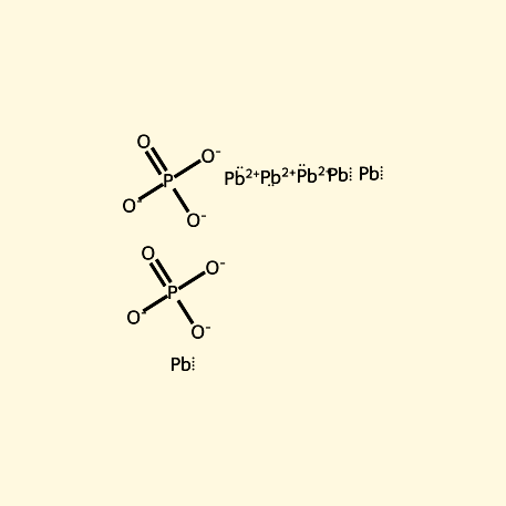 O=P([O-])([O-])[O-].O=P([O-])([O-])[O-].[Pb+2].[Pb+2].[Pb+2].[Pb].[Pb].[Pb]